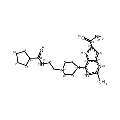 Cc1nc(N2CCN(CCNC(=O)C3CCCC3)CC2)c2sc(C(N)=O)cc2n1